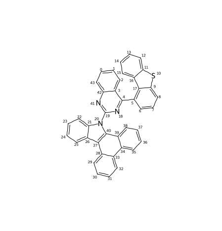 c1ccc2c(-c3cccc4sc5ccccc5c34)nc(-n3c4ccccc4c4c5ccccc5c5ccccc5c43)nc2c1